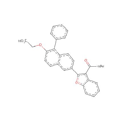 CCCCC(=O)c1c(-c2ccc3c(-c4ccccc4)c(OCC(=O)O)ccc3c2)oc2ccccc12